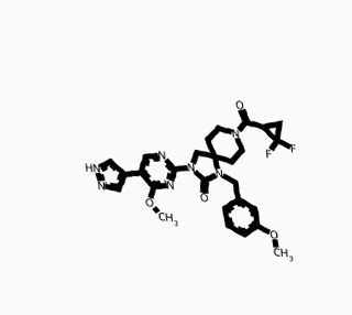 COc1cccc(CN2C(=O)N(c3ncc(-c4cn[nH]c4)c(OC)n3)CC23CCN(C(=O)C2CC2(F)F)CC3)c1